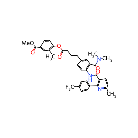 COC(=O)c1ccc(OC(=O)CCCc2ccc(NC(=O)c3ccc(C)nc3-c3ccc(C(F)(F)F)cc3)c(C(=O)N(C)C)c2)c(C)c1